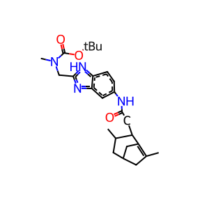 CC1=C2CC(C1)CC(C)C2CC(=O)Nc1ccc2[nH]c(CN(C)C(=O)OC(C)(C)C)nc2c1